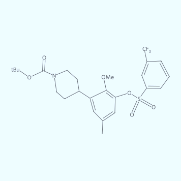 COc1c(OS(=O)(=O)c2cccc(C(F)(F)F)c2)cc(C)cc1C1CCN(C(=O)OC(C)(C)C)CC1